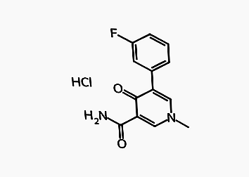 Cl.Cn1cc(C(N)=O)c(=O)c(-c2cccc(F)c2)c1